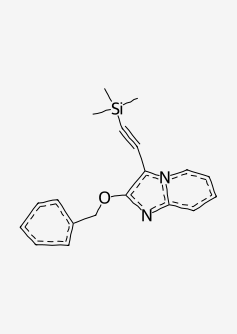 C[Si](C)(C)C#Cc1c(OCc2ccccc2)nc2ccccn12